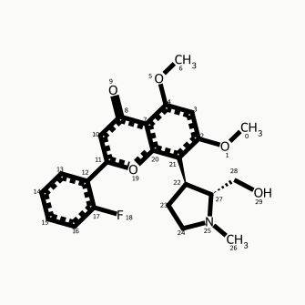 COc1cc(OC)c2c(=O)cc(-c3ccccc3F)oc2c1[C@@H]1CCN(C)[C@H]1CO